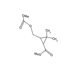 COC(=O)OCC1C(C(=O)OC)C1(C)C